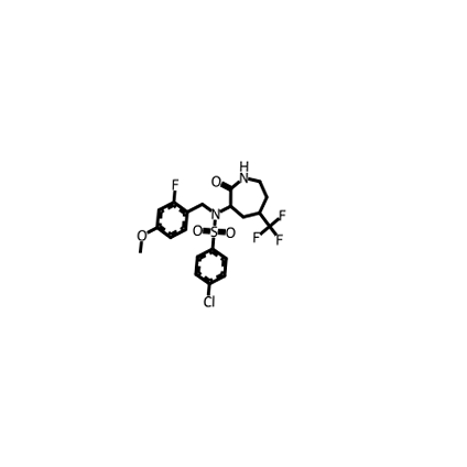 COc1ccc(CN(C2CC(C(F)(F)F)CCNC2=O)S(=O)(=O)c2ccc(Cl)cc2)c(F)c1